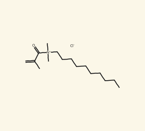 C=C(C)C(=O)[N+](C)(C)CCCCCCCCCC.[Cl-]